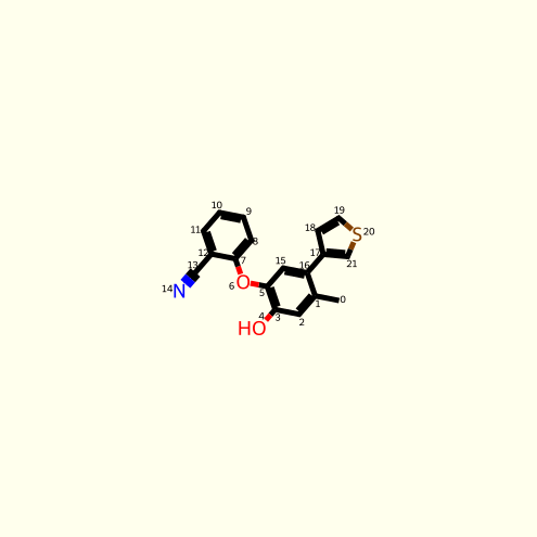 Cc1cc(O)c(Oc2ccccc2C#N)cc1-c1ccsc1